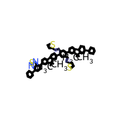 CC1(C)c2cc(-c3ccccc3)ccc2-c2ccc(-c3cc(/C=C/c4cccs4)c(-c4ccc5c(c4)C(C)(C)c4cc(-c6ccc(-c7ccccc7)c7nsnc67)ccc4-5)cc3/C=C/c3cccs3)cc21